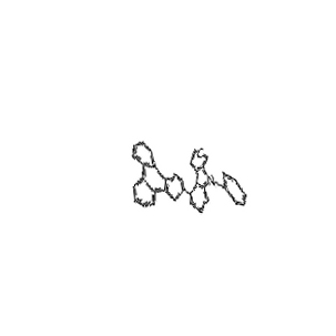 c1ccc(-n2c3ccccc3c3c(-c4ccc5c6ccccc6c6ccccc6c5c4)cccc32)cc1